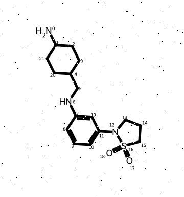 NC1CCC(CNc2cccc(N3CCCS3(=O)=O)c2)CC1